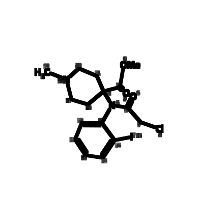 COC(=O)C1(N(C(=O)CCl)c2ccccc2F)CCN(C)CC1